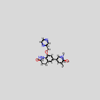 Cc1cc(-c2cc3c(c(OCc4cnccn4)c2)NC(=O)CC3)cn(C)c1=O